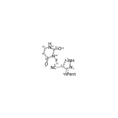 CCCCCc1n[nH]cc1C#N.O=c1cc[nH]c(=O)n1F